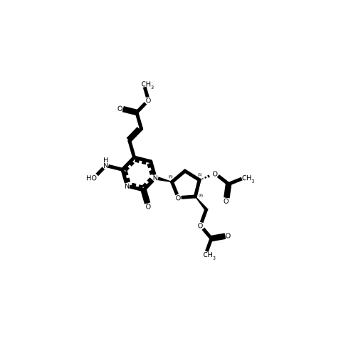 COC(=O)C=Cc1cn([C@H]2C[C@H](OC(C)=O)[C@@H](COC(C)=O)O2)c(=O)nc1NO